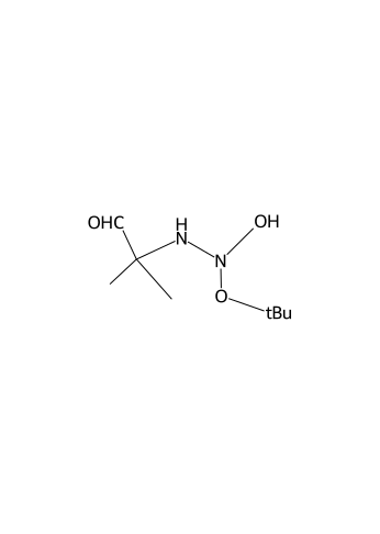 CC(C)(C=O)NN(O)OC(C)(C)C